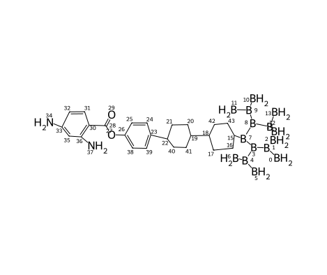 BB(B)B(B(B)B)B(B(B(B)B)B(B)B)C1CCC(C2CCC(c3ccc(OC(=O)c4ccc(N)cc4N)cc3)CC2)CC1